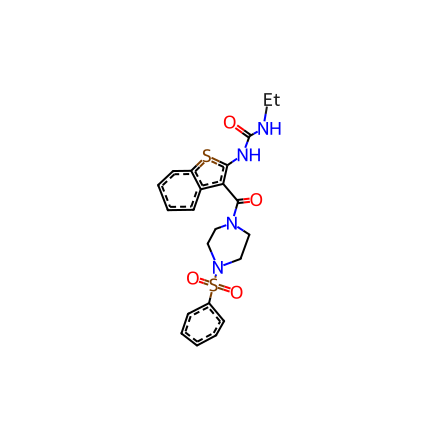 CCNC(=O)Nc1sc2ccccc2c1C(=O)N1CCN(S(=O)(=O)c2ccccc2)CC1